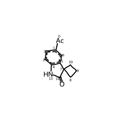 CC(=O)c1ccc2c(c1)C1(CCC1)C(=O)N2